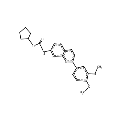 COc1ccc(-c2ccc3ncc(NC(=O)OC4CCCC4)nc3n2)cc1OC